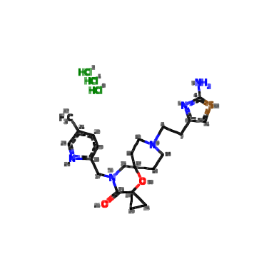 Cl.Cl.Cl.Nc1nc(CCN2CCC3(CC2)CN(Cc2ccc(C(F)(F)F)cn2)C(=O)C2(CC2)O3)cs1